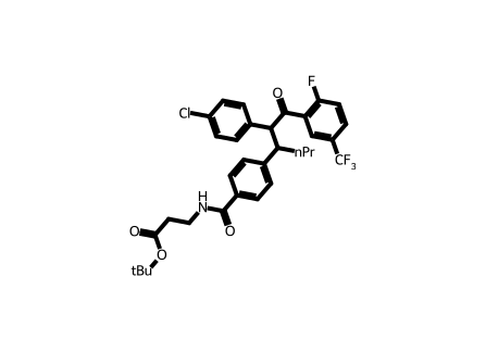 CCCC(c1ccc(C(=O)NCCC(=O)OC(C)(C)C)cc1)C(C(=O)c1cc(C(F)(F)F)ccc1F)c1ccc(Cl)cc1